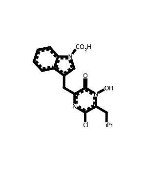 CC(C)Cc1c(Cl)nc(Cc2cn(C(=O)O)c3ccccc23)c(=O)n1O